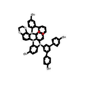 Cc1cc2c3c(c1)N(c1ccc(C(C)(C)C)cc1-c1ccccc1)c1c(ccc4c1OCCO4)B3c1cc(C(C)(C)C)ccc1N2c1cc(-c2ccc(C(C)(C)C)cc2)cc(-c2ccc(C(C)(C)C)cc2)c1